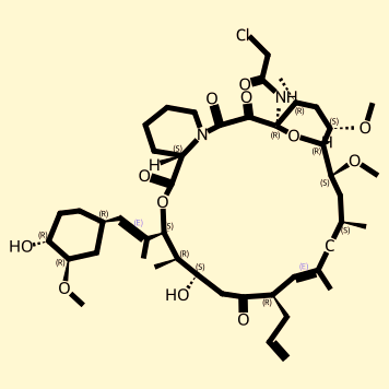 C=CC[C@@H]1/C=C(\C)C[C@H](C)C[C@H](OC)[C@H]2O[C@@](NC(=O)CCl)(C(=O)C(=O)N3CCCC[C@H]3C(=O)O[C@H](/C(C)=C/[C@@H]3CC[C@@H](O)[C@H](OC)C3)[C@H](C)[C@@H](O)CC1=O)[C@H](C)C[C@@H]2OC